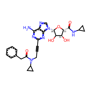 Nc1nc(C#CCN(C(=O)Cc2ccccc2)C2CC2)nc2c1ncn2[C@@H]1O[C@H](C(=O)NC2CC2)[C@@H](O)C1O